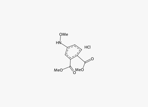 CONc1ccc(C(=O)OC)c(C(=O)OC)c1.Cl